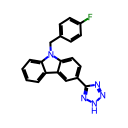 Fc1ccc(Cn2c3ccccc3c3cc(-c4nn[nH]n4)ccc32)cc1